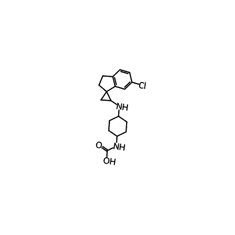 O=C(O)NC1CCC(NC2CC23CCc2ccc(Cl)cc23)CC1